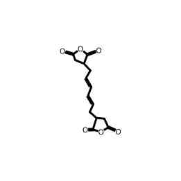 O=C1CC(C/C=C/C=C/CC2CC(=O)OC2=O)C(=O)O1